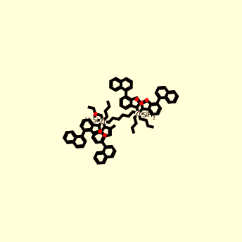 CCC[CH2][Zr]([CH2]CCC)([CH2]CCCC[CH2][Zr]([CH2]CCC)([CH2]CCC)([SiH2]C)([CH]1C(C)=Cc2c(-c3cccc4ccccc34)cccc21)[CH]1C(C)=Cc2c(-c3cccc4ccccc34)cccc21)([SiH2]C)([CH]1C(C)=Cc2c(-c3cccc4ccccc34)cccc21)[CH]1C(C)=Cc2c(-c3cccc4ccccc34)cccc21